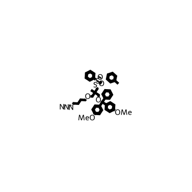 COc1ccc(C(OCC(C)(COCCCCN=[N+]=[N-])CSS(=O)(=O)c2ccccc2)(c2ccccc2)c2ccc(OC)cc2)cc1.Cc1ccccc1